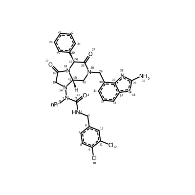 CCCN(C(=O)NCc1ccc(Cl)c(Cl)c1)N1CC(=O)N2[C@@H](c3ccccc3)C(=O)N(Cc3cccc4sc(N)nc34)C[C@@H]21